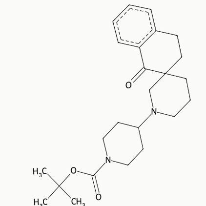 CC(C)(C)OC(=O)N1CCC(N2CCCC3(CCc4ccccc4C3=O)C2)CC1